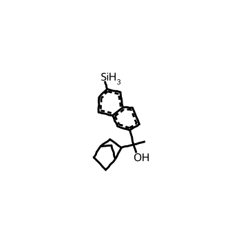 CC(O)(c1ccc2cc([SiH3])ccc2c1)C1CC2CCC1C2